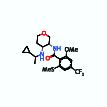 COc1cc(C(F)(F)F)cc(SC)c1C(=O)N[C@H]1COCC[C@H]1NC(C)C1CC1